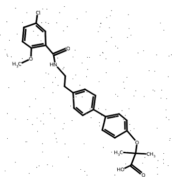 COc1ccc(Cl)cc1C(=O)NCCc1ccc(-c2ccc(OC(C)(C)C(=O)O)cc2)cc1